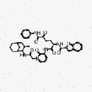 CC1CC2CCCC(C2)C1NC(=O)Cn1cccc(NC(=O)C(CCC(=O)C(=O)Nc2ccccc2)NC(=O)c2cc3ccccc3o2)c1=O